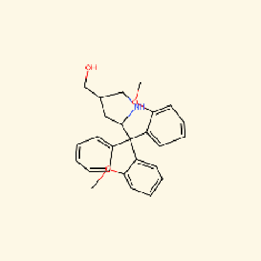 COc1ccccc1C(c1ccccc1)(c1ccccc1OC)C1CC(CO)CN1